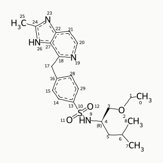 CCOC[C@@H](CC(C)C)NS(=O)(=O)c1ccc(Cc2nccc3nc(C)[nH]c23)cc1